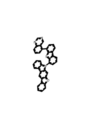 c1cc(-c2cccc3c2sc2c(-n4c5ccccc5c5cc6c(cc54)oc4ccccc46)cccc23)c2cncnc2c1